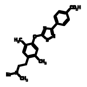 CCN(C)CCc1cc(C)c(Oc2nc(-c3ccc(C(=O)O)cc3)ns2)cc1C